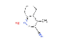 Cc1c(C#N)c[n+](O)c2c1CCCC2